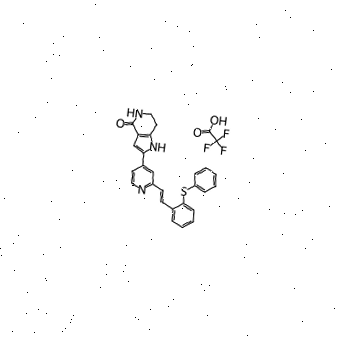 O=C(O)C(F)(F)F.O=C1NCCc2[nH]c(-c3ccnc(C=Cc4ccccc4Sc4ccccc4)c3)cc21